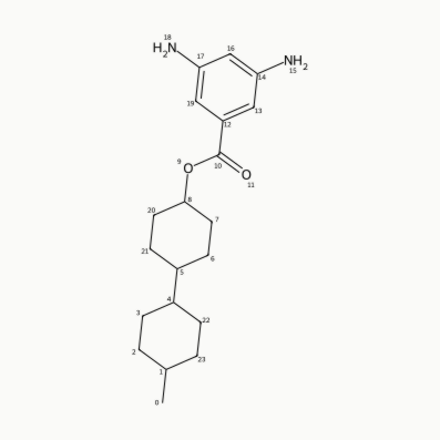 CC1CCC(C2CCC(OC(=O)c3cc(N)cc(N)c3)CC2)CC1